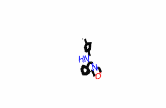 [CH2]c1ccc(CNC(CN2CCOCC2)c2ccccc2)cc1